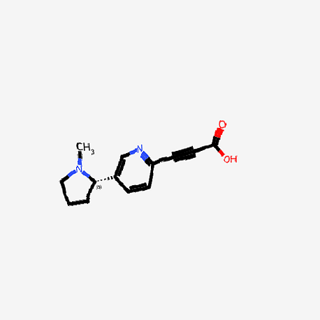 CN1CCC[C@H]1c1ccc(C#CC(=O)O)nc1